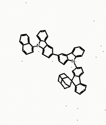 c1ccc2c(c1)-c1ccc(-n3c4ccccc4c4cc(-c5ccc6c(c5)c5ccccc5n6-c5cccc6ccccc56)ccc43)cc1C21C2CC3CC(C2)CC1C3